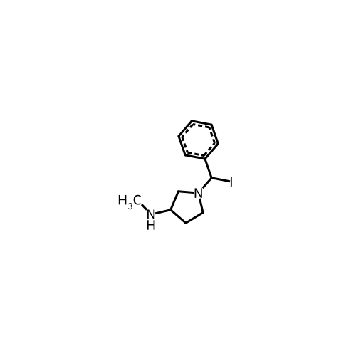 CNC1CCN(C(I)c2ccccc2)C1